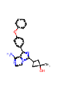 CC1(O)CC(c2nc(-c3ccc(Oc4ccccc4)cc3)c3c(N)nccn23)C1